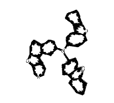 c1ccc2c(c1)oc1cc(N(c3ccc4oc5ccccc5c4c3)c3ccc4ccc5oc6cnccc6c5c4c3)ccc12